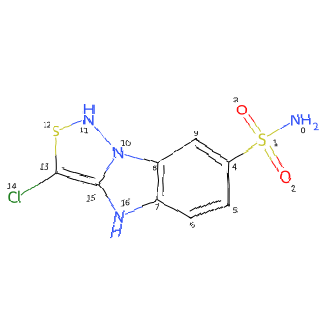 NS(=O)(=O)c1ccc2c(c1)N1NSC(Cl)=C1N2